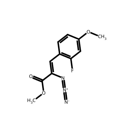 COC(=O)/C(=C/c1ccc(OC)cc1F)N=[N+]=[N-]